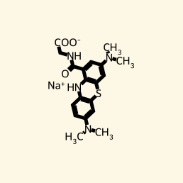 CN(C)c1ccc2c(c1)Sc1cc(N(C)C)cc(C(=O)NCC(=O)[O-])c1N2.[Na+]